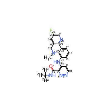 [2H]C([2H])([2H])NC(=O)c1nnccc1Nc1cccc2c1N(C)Cc1cc(F)cnc1-2